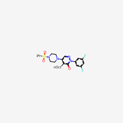 CCCCCCCCc1c(N2CCN(S(=O)(=O)C(C)C)CC2)cnn(-c2cc(F)cc(F)c2)c1=O